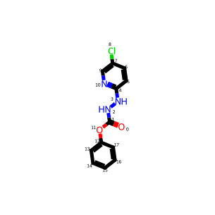 O=C(NNc1ccc(Cl)cn1)Oc1ccccc1